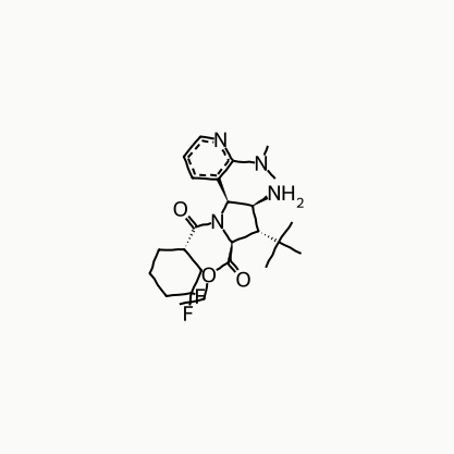 CCOC(=O)[C@@H]1[C@@H](C(C)(C)C)[C@H](N)[C@H](c2cccnc2N(C)C)N1C(=O)[C@H]1CCCC(F)(F)C1